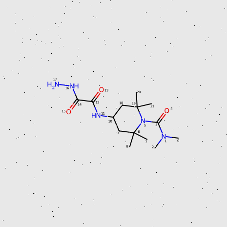 CN(C)C(=O)N1C(C)(C)CC(NC(=O)C(=O)NN)CC1(C)C